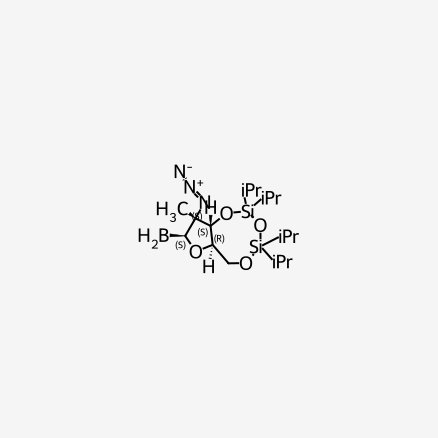 B[C@@H]1O[C@@H]2CO[Si](C(C)C)(C(C)C)O[Si](C(C)C)(C(C)C)O[C@H]2[C@@]1(C)N=[N+]=[N-]